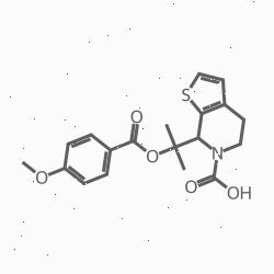 COc1ccc(C(=O)OC(C)(C)C2c3sccc3CCN2C(=O)O)cc1